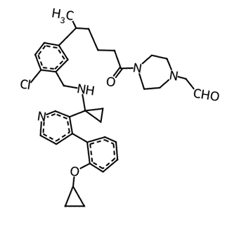 CC(CCCC(=O)N1CCN(CC=O)CC1)c1ccc(Cl)c(CNC2(c3cnccc3-c3ccccc3OC3CC3)CC2)c1